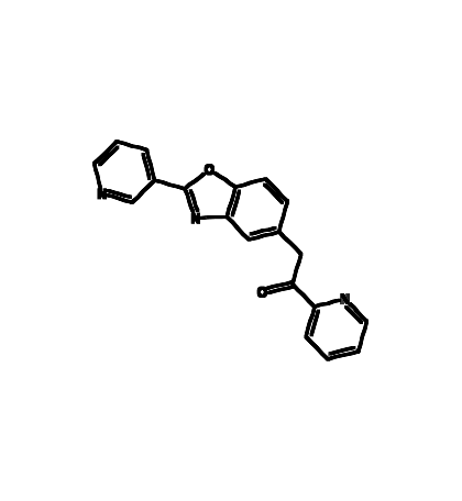 O=C(Cc1ccc2oc(-c3cccnc3)nc2c1)c1ccccn1